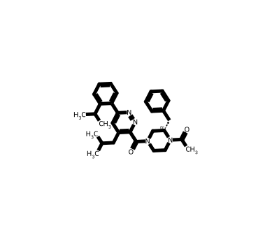 CC(=O)N1CCN(C(=O)c2nnc(-c3ccccc3C(C)C)cc2CC(C)C)C[C@@H]1Cc1ccccc1